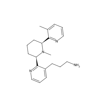 Cc1cccnc1[C@@H]1CCC[C@H](c2ncccc2CCCN)N1C